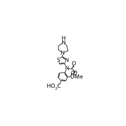 COc1cc(C(=O)O)ccc1N(c1csc(N2CCNCC2)n1)[SH](=O)=O